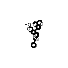 Cc1cc2c(ccc3nc(C4=CCCC=C4)cn32)c(-c2ccc3c4c(ccnc24)CCO3)c1CC(=O)O